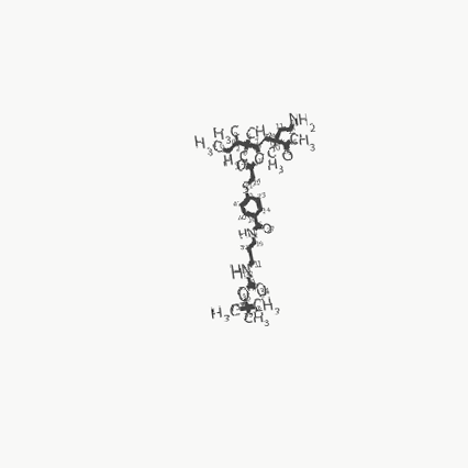 CC[C@@H](C)C(C)(C)[C@@H](C[C@](C)(CCN)C(C)=O)OC(=O)CSc1ccc(C(=O)NCCCNC(=O)OC(C)(C)C)cc1